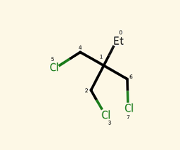 [CH2]CC(CCl)(CCl)CCl